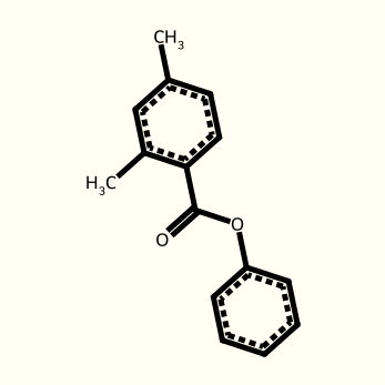 Cc1ccc(C(=O)Oc2ccccc2)c(C)c1